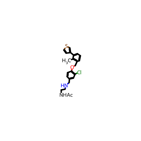 CC(=O)NCCNCc1ccc(OCc2cccc(-c3ccsc3)c2C)c(Cl)c1